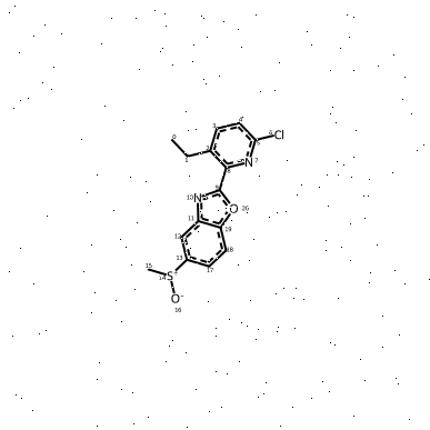 CCc1ccc(Cl)nc1-c1nc2cc([S+](C)[O-])ccc2o1